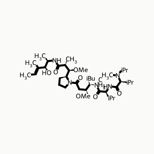 C/C=C(\C)[C@H](O)[C@@H](C)NC(=O)[C@H](C)[C@@H](OC)[C@@H]1CCCN1C(=O)C[C@@H](OC)[C@H]([C@@H](C)CC)N(C)C(=O)[C@@H](NC(=O)[C@H](C(C)C)N(C)C(C)C)C(C)C